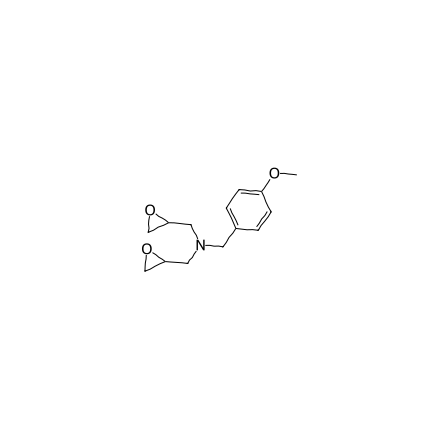 COc1ccc(CN(CC2CO2)CC2CO2)cc1